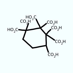 O=C(O)C1CCC(C(=O)O)(C(=O)O)C(C(=O)O)(C(=O)O)C1(C(=O)O)C(=O)O